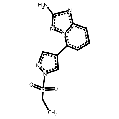 CCS(=O)(=O)n1cc(-c2cccc3nc(N)nn23)cn1